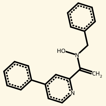 C=C(c1cc(-c2ccccc2)ccn1)N(O)Cc1ccccc1